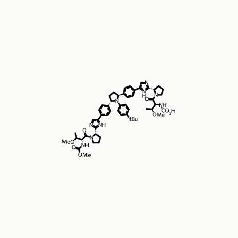 COC(=O)N[C@@H](C(=O)N1CCC[C@H]1c1ncc(-c2ccc([C@@H]3CC[C@@H](c4ccc(-c5cnc([C@@H]6CCCN6C(=O)[C@@H](NC(=O)O)[C@H](C)OC)[nH]5)cc4)N3c3ccc(C(C)(C)C)cc3)cc2)[nH]1)C(C)OC